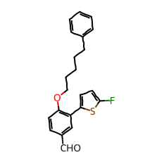 O=Cc1ccc(OCCCCCc2ccccc2)c(-c2ccc(F)s2)c1